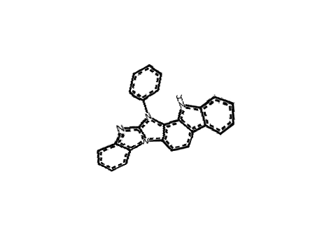 [c]1cccc2c1[nH]c1c2ccc2c1n(-c1ccccc1)c1nc3ccccc3n21